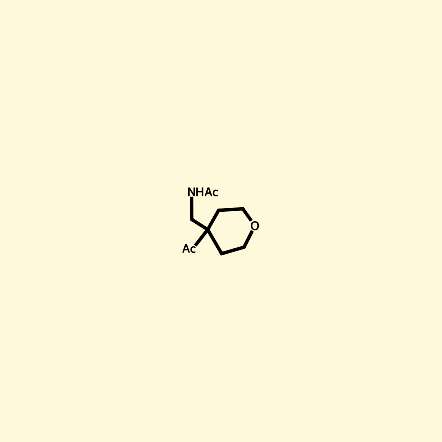 CC(=O)NCC1(C(C)=O)CCOCC1